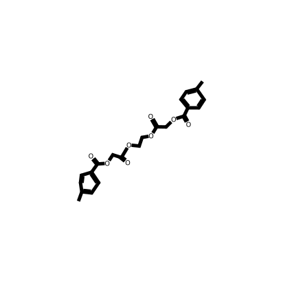 Cc1ccc(C(=O)OCC(=O)OCCOC(=O)COC(=O)c2ccc(C)cc2)cc1